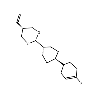 C=C[C@H]1CO[C@H]([C@H]2CC[C@H](C3CC=C(F)CC3)CC2)OC1